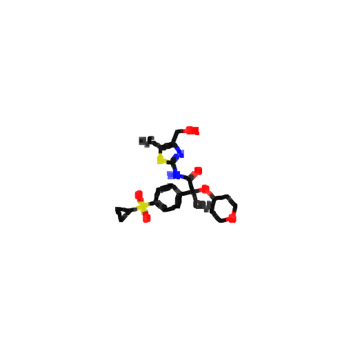 Cc1sc(NC(=O)C(OC2CCOCC2)(C(=O)O)c2ccc(S(=O)(=O)C3CC3)cc2)nc1CO